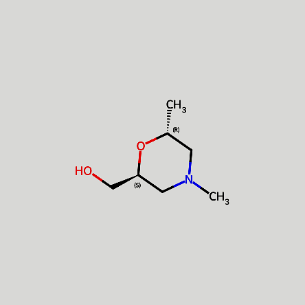 C[C@@H]1CN(C)C[C@@H](CO)O1